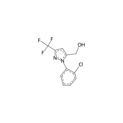 OCc1cc(C(F)(F)F)nn1-c1ccccc1Cl